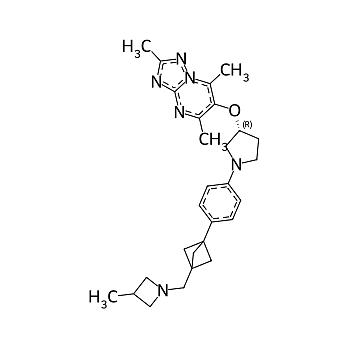 Cc1nc2nc(C)c(O[C@@H]3CCN(c4ccc(C56CC(CN7CC(C)C7)(C5)C6)cc4)C3)c(C)n2n1